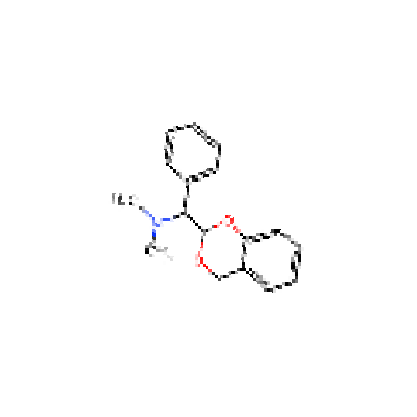 CN(C)C(c1ccccc1)C1OCc2ccccc2O1